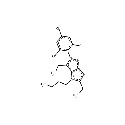 CCCCn1c(CC)nc2nn(-c3c(Cl)cc(Cl)cc3Cl)c(CC)c21